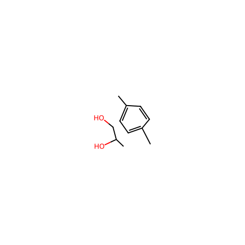 CC(O)CO.Cc1ccc(C)cc1